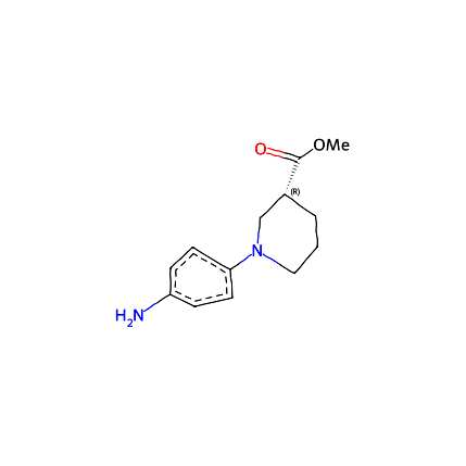 COC(=O)[C@@H]1CCCN(c2ccc(N)cc2)C1